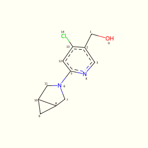 OCc1cnc(N2CC3CC3C2)cc1Cl